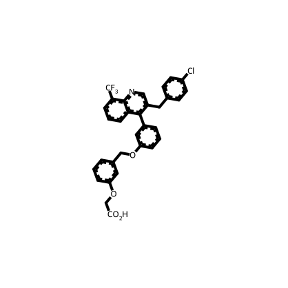 O=C(O)COc1cccc(COc2cccc(-c3c(Cc4ccc(Cl)cc4)cnc4c(C(F)(F)F)cccc34)c2)c1